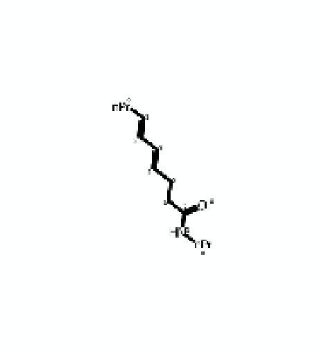 CCCC=C/C=C/CCC(=O)NCCC